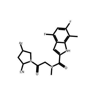 CC(=O)C1CC(C#N)N(C(=O)CN(C)C(=O)c2cc3c(F)cc(F)c(C)c3[nH]2)C1